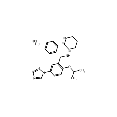 CC(C)Oc1ccc(-n2cnnn2)cc1CN[C@H]1CCCN[C@H]1c1ccccc1.Cl.Cl